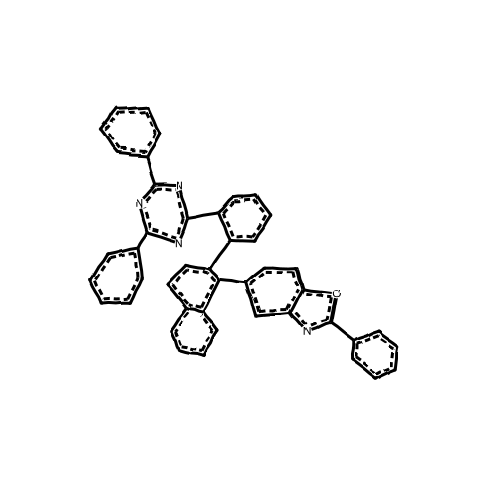 c1ccc(-c2nc(-c3ccccc3)nc(-c3ccccc3-c3ccc4ccccc4c3-c3ccc4oc(-c5ccccc5)nc4c3)n2)cc1